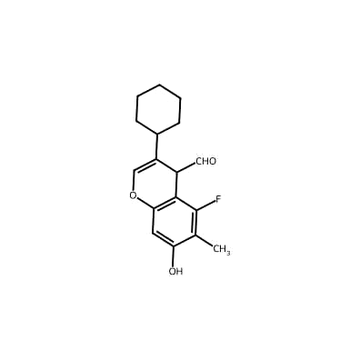 Cc1c(O)cc2c(c1F)C(C=O)C(C1CCCCC1)=CO2